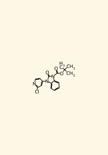 CC(C)(C)OC(=O)n1c(=O)n(-c2ccnc(Cl)c2)c2ccccc21